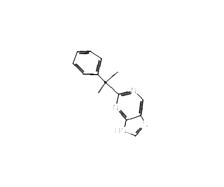 CC(C)(c1ccccc1)c1ncc2nc[nH]c2n1